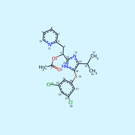 CC(=O)OC(Cc1ccccn1)c1nc(C(C)C)c(Sc2cc(Cl)cc(Cl)c2)[nH]1